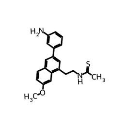 COc1ccc2cc(-c3cccc(N)c3)cc(CCNC(C)=S)c2c1